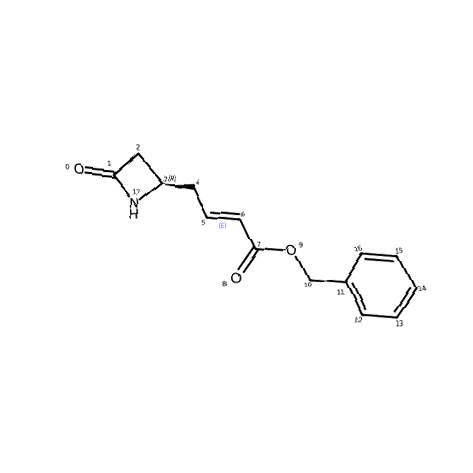 O=C1C[C@@H](C/C=C/C(=O)OCc2ccccc2)N1